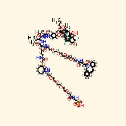 CCCC1O[C@@H]2C[C@H]3[C@@H]4C[C@H](F)C5=CC(=O)C=C[C@]5(C)[C@@]4(F)[C@@H](O)C[C@]3(C)[C@]2(C(=O)COc2ccc(NC(=O)[C@H](C)NC(=O)[C@@H](NC(=O)[C@@H](CCCCNC(=O)COC3CCCCCc4c3nnn4CCOCCOCCOCCOCCC(=O)NCCS(=O)(=O)O)NC(=O)CCOCCOCCOCCOCCNC(=O)CCC(=O)N3Cc4ccccc4C#Cc4ccccc43)C(C)C)cc2)O1